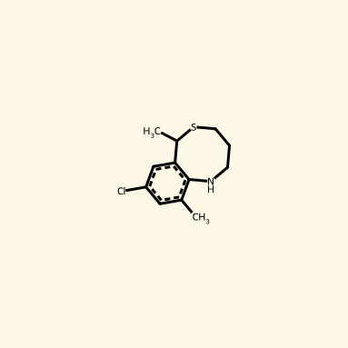 Cc1cc(Cl)cc2c1NCCCSC2C